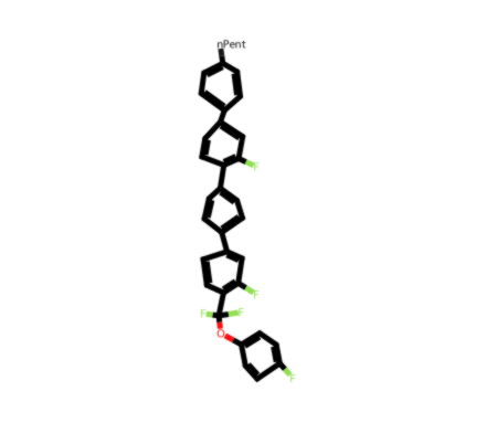 CCCCCc1ccc(-c2ccc(-c3ccc(-c4ccc(C(F)(F)Oc5ccc(F)cc5)c(F)c4)cc3)c(F)c2)cc1